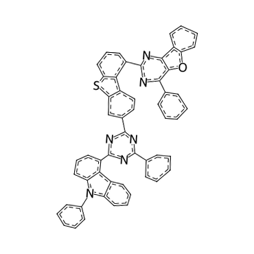 c1ccc(-c2nc(-c3ccc4c(c3)sc3cccc(-c5nc(-c6ccccc6)c6oc7ccccc7c6n5)c34)nc(-c3cccc4c3c3ccccc3n4-c3ccccc3)n2)cc1